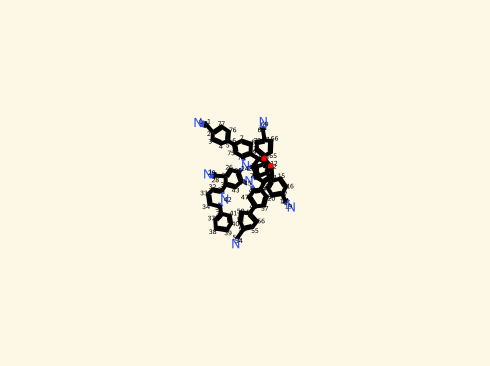 N#Cc1ccc(-c2ccc3c4ccc(-c5ccc(C#N)cc5)cc4n(-c4cc(C#N)c(-c5cccc(-c6ccccc6)n5)cc4-n4c5cc(-c6ccc(C#N)cc6)ccc5c5ccc(-c6ccc(C#N)cc6)cc54)c3c2)cc1